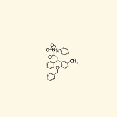 Cc1ccc(OCc2ccccc2)c(C(CC(=O)N2C(=O)OC[C@H]2c2ccccc2)c2ccccc2)c1